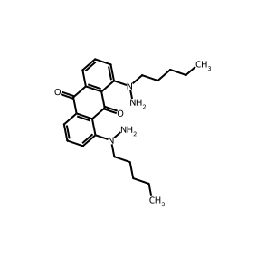 CCCCCN(N)c1cccc2c1C(=O)c1c(cccc1N(N)CCCCC)C2=O